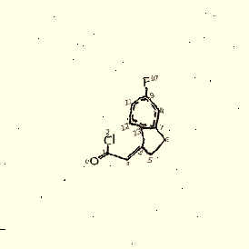 O=C(Cl)/C=C1/CCc2cc(F)ccc21